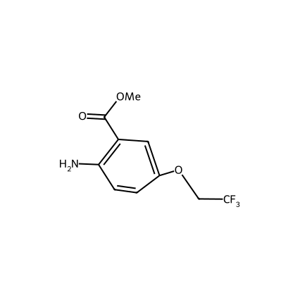 COC(=O)c1cc(OCC(F)(F)F)ccc1N